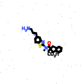 CN(C(=O)C1(CC(=O)O)Cc2ccccc2C1)c1nc2cc(/C=C/CN)ccc2s1